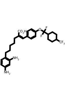 Nc1ccc(CCCCCC(=Cc2ccc(OC(F)(F)C3CCC(C(F)(F)F)CC3)cc2)C(=O)O)c(N)c1